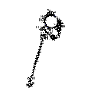 CO[C@H]1/C=C/O[C@@]2(C)Oc3c(C)c(O)c4c(=O)c(c5oc6cc(OCC[N+](C)(C)Cc7ccc(NC(=O)[C@H](CCCNC(N)=O)NC(=O)[C@@H](NC(=O)CCOCCOCCOCCOCCOCCOCCOCCOCCNC(=O)CCN8C(=O)C=CC8=O)C(C)C)cc7)ccc6nc-5c4c3C2=O)NC(=O)/C(C)=C\C=C\[C@H](C)[C@H](O)[C@@H](C)[C@@H](O)[C@@H](C)[C@H](OC(C)=O)[C@@H]1C